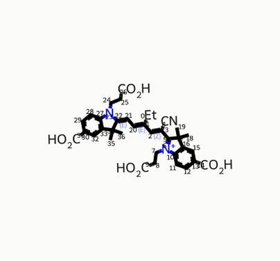 CCC(/C=C(\C#N)C1=[N+](CCC(=O)O)c2ccc(C(=O)O)cc2C1(C)C)=C\C=C1\N(CCC(=O)O)c2ccc(C(=O)O)cc2C1(C)C